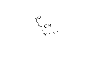 CC(=O)CCC=C(CO)CCC=C(C)CCC=C(C)C